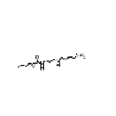 CCCCOC(=O)NCCCNCCCCN